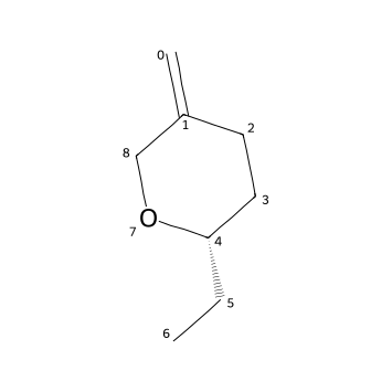 C=C1CC[C@H](CC)OC1